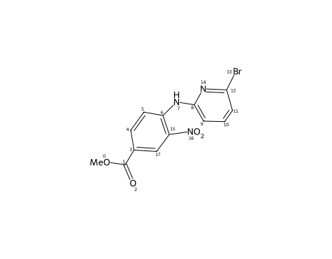 COC(=O)c1ccc(Nc2cccc(Br)n2)c([N+](=O)[O-])c1